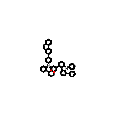 c1ccc(-c2ccccc2N(c2ccc(-c3ccc4c(ccc5ccccc54)c3)cc2)c2cccc(-c3cccc4c3c3cccc(-c5ccccc5)c3n4-c3ccccc3)c2)cc1